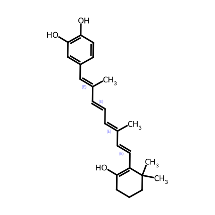 CC(/C=C/C1=C(O)CCCC1(C)C)=C\C=C\C(C)=C\c1ccc(O)c(O)c1